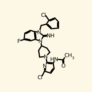 CC(=O)Nc1ccc(Cl)nc1N1CCC(n2c(=N)n(Cc3ccccc3Cl)c3ccc(F)cc32)CC1